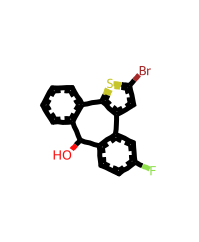 OC1c2ccc(F)cc2-c2cc(Br)sc2-c2ccccc21